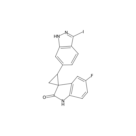 O=C1Nc2ccc(F)cc2C12CC2c1ccc2c(I)n[nH]c2c1